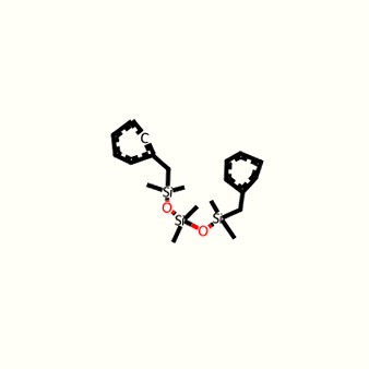 C[Si](C)(Cc1ccccc1)O[Si](C)(C)O[Si](C)(C)Cc1ccccc1